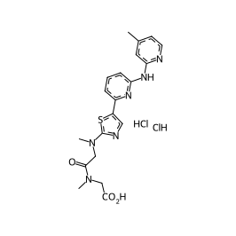 Cc1ccnc(Nc2cccc(-c3cnc(N(C)CC(=O)N(C)CC(=O)O)s3)n2)c1.Cl.Cl